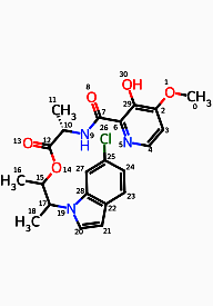 COc1ccnc(C(=O)N[C@@H](C)C(=O)OC(C)C(C)n2ccc3ccc(Cl)cc32)c1O